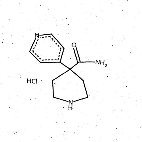 Cl.NC(=O)C1(c2ccncc2)CCNCC1